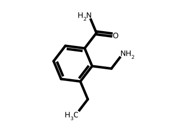 CCc1cccc(C(N)=O)c1CN